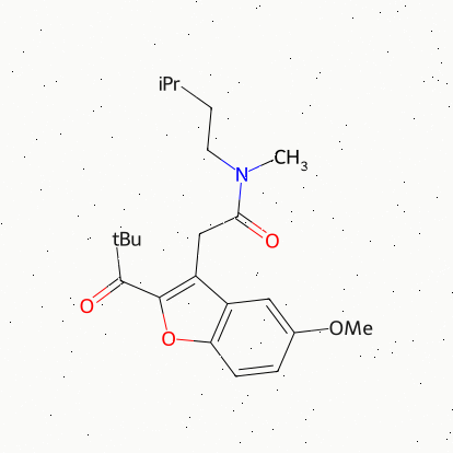 COc1ccc2oc(C(=O)C(C)(C)C)c(CC(=O)N(C)CCC(C)C)c2c1